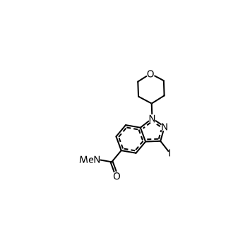 CNC(=O)c1ccc2c(c1)c(I)nn2C1CCOCC1